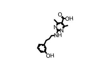 Cc1nc(NCCCc2cccc(O)c2)nc(C)c1C(=O)O